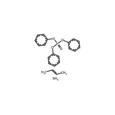 CC=CC.O=P(Oc1ccccc1)(Oc1ccccc1)Oc1ccccc1.[SiH4]